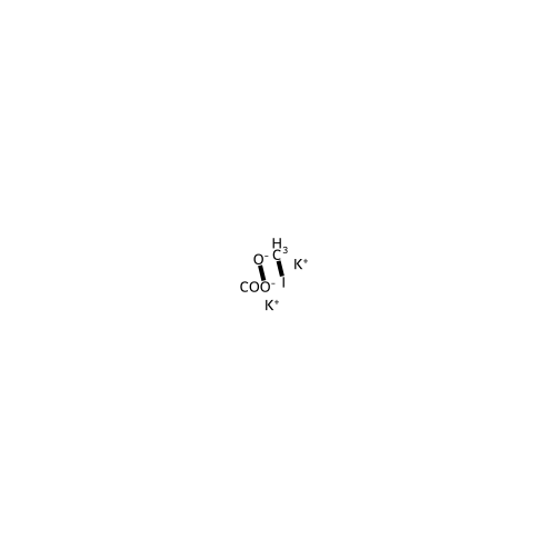 CI.O=C([O-])[O-].[K+].[K+]